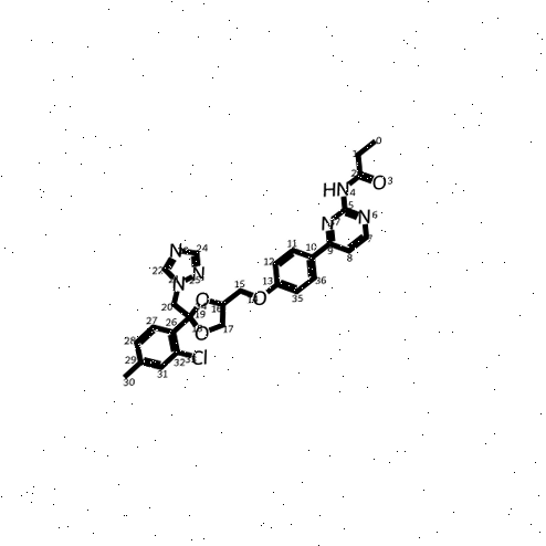 CCC(=O)Nc1nccc(-c2ccc(OCC3COC(Cn4cncn4)(c4ccc(C)cc4Cl)O3)cc2)n1